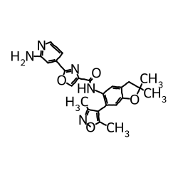 Cc1noc(C)c1-c1cc2c(cc1NC(=O)c1coc(-c3ccnc(N)c3)n1)CC(C)(C)O2